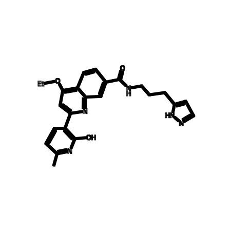 CCOc1cc(-c2ccc(C)nc2O)nc2cc(C(=O)NCCCc3ccn[nH]3)ccc12